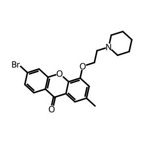 Cc1cc(OCCN2CCCCC2)c2oc3cc(Br)ccc3c(=O)c2c1